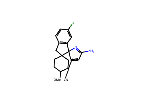 COC1CCC2(CC1)Cc1ccc(Br)cc1C21N=C(N)c2ccc(C#N)cc21